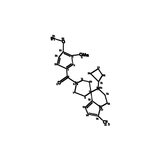 COc1cc(C(=O)N2CCC3(CC2)c2ccc(C(F)(F)F)n2CCN3C2CCC2)ccc1OC(C)C